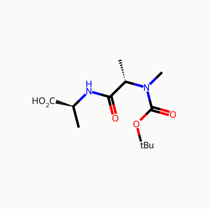 C[C@H](NC(=O)[C@H](C)N(C)C(=O)OC(C)(C)C)C(=O)O